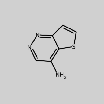 Nc1cnnc2ccsc12